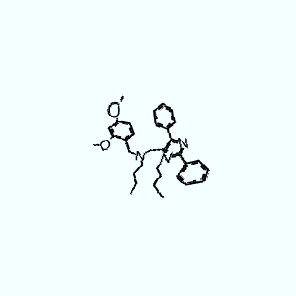 CCCCN(Cc1ccc(OC)cc1OC)Cc1c(-c2ccccc2)nc(-c2ccccc2)n1CCCC